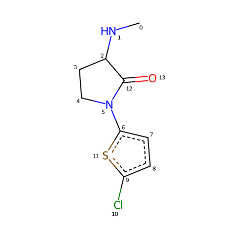 CNC1CCN(c2ccc(Cl)s2)C1=O